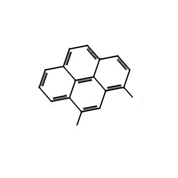 Oc1cc2c(O)ccc3ccc4cccc1c4c32